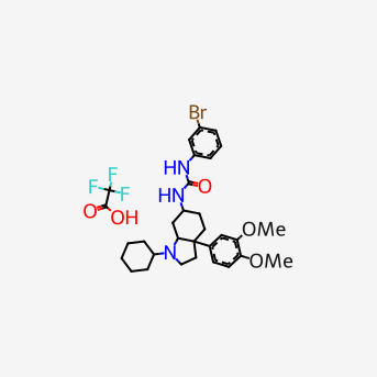 COc1ccc(C23CCC(NC(=O)Nc4cccc(Br)c4)CC2N(C2CCCCC2)CC3)cc1OC.O=C(O)C(F)(F)F